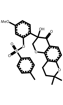 COc1ccc(C2(O)COc3c(ccc4c3CCC(C)(C)O4)C2=O)c(OS(=O)(=O)c2ccc(C)cc2)c1